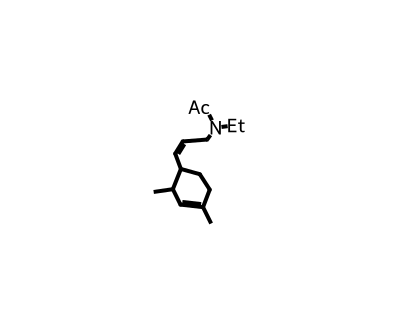 CCN(C/C=C\C1CCC(C)=CC1C)C(C)=O